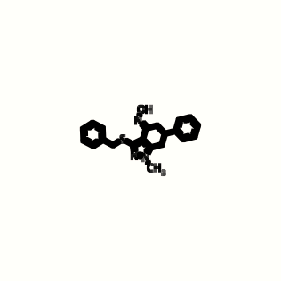 Cn1nc(SCc2ccccc2)c2c1CC(c1ccccc1)C/C2=N\O